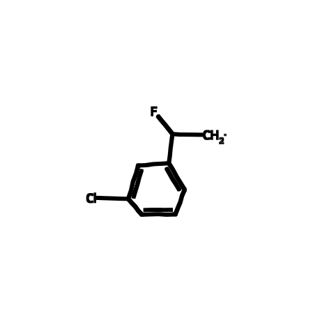 [CH2]C(F)c1cccc(Cl)c1